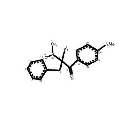 CCC(Cc1ccccc1)(C(=O)c1ccc(NC)cc1)N(C)C